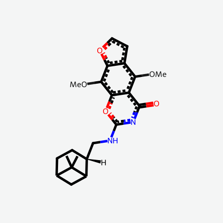 COc1c2occc2c(OC)c2c(=O)nc(NC[C@H]3CCC4CC3C4(C)C)oc12